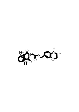 C[C@@H]1COc2cc(CNC(=O)CN3C(=O)[C@@H]4[C@H]5CC[C@H](C5)[C@@H]4C3=O)ccc2N1